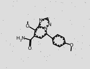 COc1ccc(-c2cc(C(N)=O)c(OC)c3n[c]nn23)cc1